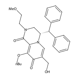 CCCCOc1c2n(cc(CO)c1=O)[C@@H](C(c1ccccc1)c1ccccc1)CN(CCOC)C2=O